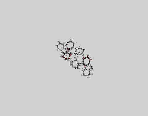 c1ccc(-c2ccc(-c3ccccc3)c(-c3cccc4c3[nH]c3ccccc34)c2-c2c(-c3ccccc3)nnnc2-c2cccc3sc4ccccc4c23)cc1